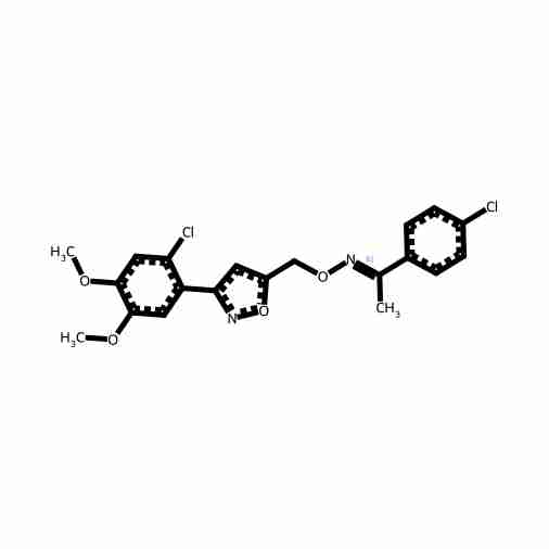 COc1cc(Cl)c(-c2cc(CO/N=C(\C)c3ccc(Cl)cc3)on2)cc1OC